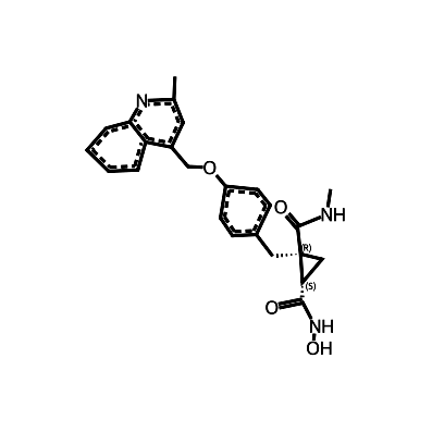 CNC(=O)[C@@]1(Cc2ccc(OCc3cc(C)nc4ccccc34)cc2)C[C@@H]1C(=O)NO